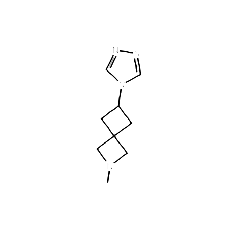 IN1CC2(CC(n3cnnc3)C2)C1